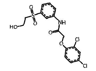 O=C(COc1ccc(Cl)cc1Cl)Nc1cccc(S(=O)(=O)CCO)c1